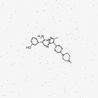 Cc1nn2c(N)c(-c3cccc(O)c3)cnc2c1-c1ccc(N2CCN(C)CC2)cc1